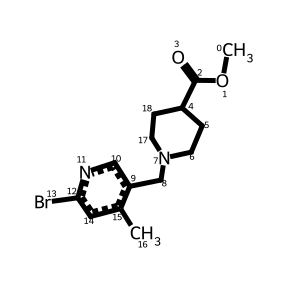 COC(=O)C1CCN(Cc2cnc(Br)cc2C)CC1